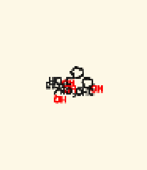 CCC(CO)(CO)CO.O=C(O)c1ccccc1.O=C(O)c1ccccc1.O=CO